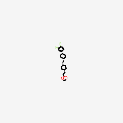 Fc1ccc([C@H]2CC[C@H](CC[C@H]3CC[C@H](CCC4OCCO4)CC3)CC2)cc1F